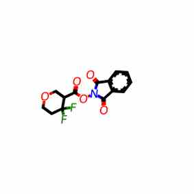 O=C(ON1C(=O)c2ccccc2C1=O)C1COCCC1(F)F